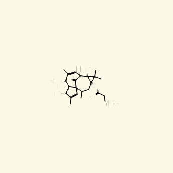 CCCCCCCCCCCC(=O)O[C@@]12CC(C)C34C=C(C)[C@H](O)[C@@]3(O)[C@H](O)C(C)=C[C@H](C4=O)[C@@H]1C2(C)C